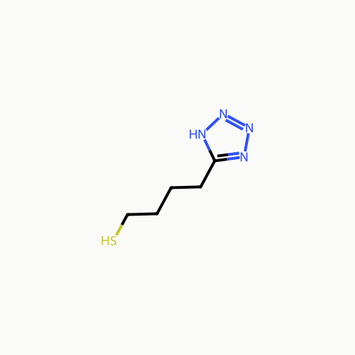 SCCCCc1nnn[nH]1